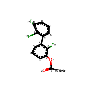 COC(=O)Oc1cccc(-c2cccc(F)c2F)c1F